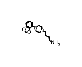 NCCCCN1CCN(c2cccc3c2OCO3)CC1